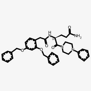 NC(=O)CC[C@H](NC(=O)Cc1ccc(OCc2ccccc2)cc1OCc1ccccc1)C(=O)N1CCN(c2ccccc2)CC1